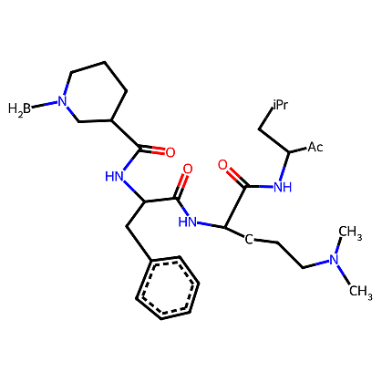 BN1CCCC(C(=O)NC(Cc2ccccc2)C(=O)NC(CCCN(C)C)C(=O)NC(CC(C)C)C(C)=O)C1